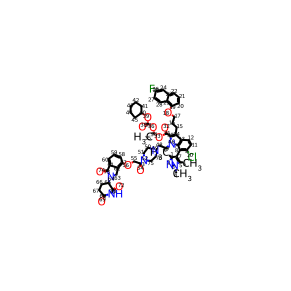 Cc1nn(C)c(C)c1-c1c(Cl)ccc2c(CCCOc3cccc4cc(F)ccc34)c(C(=O)OC(C)OC(=O)OC3CCCCC3)n(CCN3CCN(C(=O)COc4cccc5c4CN(C4CCC(=O)NC4=O)C5=O)CC3)c12